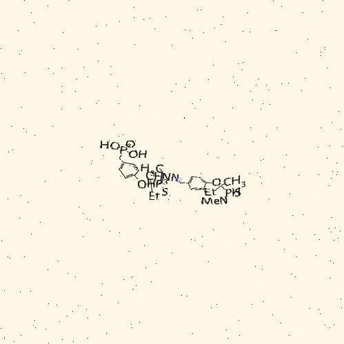 CCC(C)(Oc1ccc(/C=N/N(C)[PH](=S)C(C)(CC)Oc2ccc(CP(=O)(O)O)cc2)cc1)[PH](=S)NC